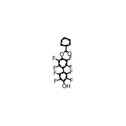 O=C(Oc1c(F)c(F)c(-c2c(F)c(F)c(O)c(F)c2F)c(F)c1F)c1ccccc1